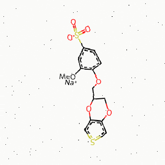 COc1cc(S(=O)(=O)[O-])ccc1OCC1COc2cscc2O1.[Na+]